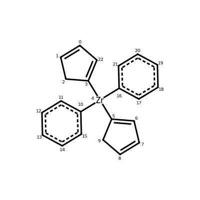 C1=CC[C]([Zr]([C]2=CC=CC2)([c]2ccccc2)[c]2ccccc2)=C1